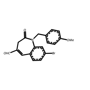 COc1ccc(CN2C(=O)CC(C=O)=Cc3ccc(Br)cc32)cc1